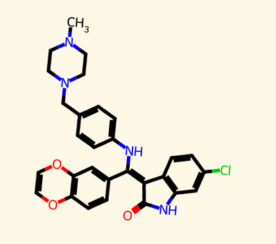 CN1CCN(Cc2ccc(NC(=C3C(=O)Nc4cc(Cl)ccc43)c3ccc4c(c3)OC=CO4)cc2)CC1